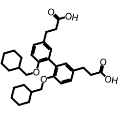 O=C(O)CCc1ccc(OCC2CCCCC2)c(-c2cc(CCC(=O)O)ccc2OCC2CCCCC2)c1